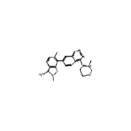 Cc1ccc2c(c1-c1ccc3c(N4CCOC[C@@H]4C)nncc3c1)ON(C)C2N